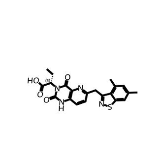 CC[C@@H](C(=O)O)n1c(=O)[nH]c2ccc(Cc3nsc4cc(C)cc(C)c34)nc2c1=O